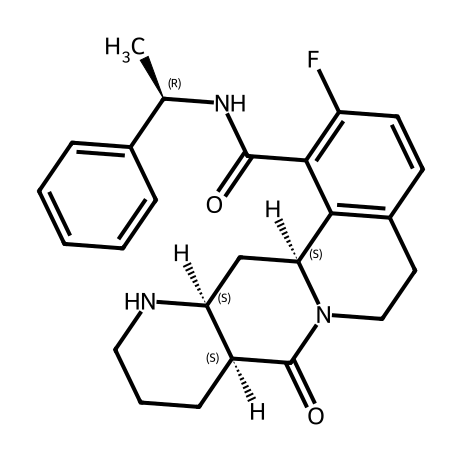 C[C@@H](NC(=O)c1c(F)ccc2c1[C@@H]1C[C@@H]3NCCC[C@@H]3C(=O)N1CC2)c1ccccc1